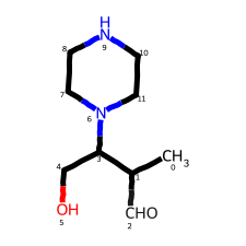 CC(C=O)C(CO)N1CCNCC1